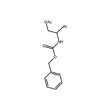 CC(=O)OCC(NC(=O)OCc1ccccc1)C(C)C